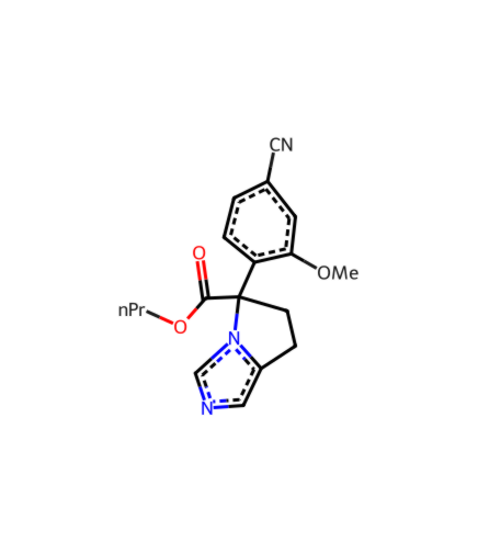 CCCOC(=O)C1(c2ccc(C#N)cc2OC)CCc2cncn21